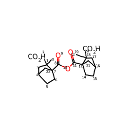 CC1(C(=O)O)CC2CCC1(C(=O)OC(=O)C13CCC(CC1(C)C(=O)O)C3)C2